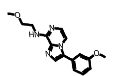 COCCNc1nccn2c(-c3cccc(OC)c3)cnc12